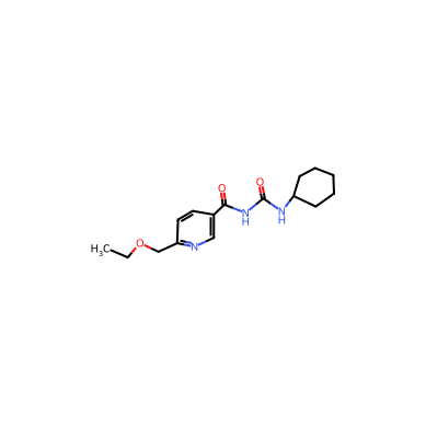 CCOCc1ccc(C(=O)NC(=O)NC2CCCCC2)cn1